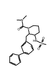 CN(C)C(=O)N1CCCC(NS(C)(=O)=O)C1Cc1cccc(-c2ccccc2)c1